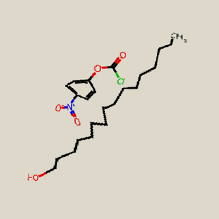 CCCCCCCCCCCCCCCCO.O=C(Cl)Oc1ccc([N+](=O)[O-])cc1